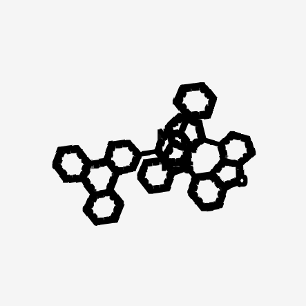 c1ccc(-c2nc(-c3ccc4c5ccccc5c5ccccc5c4c3)nc(-c3cccc4oc5cccc(-c6cccc7c6sc6ccccc67)c5c34)n2)cc1